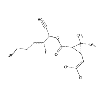 C#CC(OC(=O)C1C(C=C(Cl)Cl)C1(C)C)/C(F)=C/CCBr